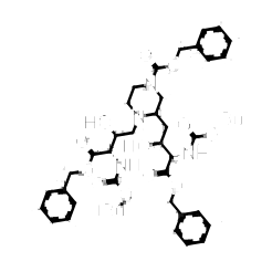 CC(C)(C)OC(=O)N[C@H](C(=O)OCc1ccccc1)C(O)CC1CN(C(=O)OCc2ccccc2)CCN1CC(O)[C@H](NC(=O)OC(C)(C)C)C(=O)OCc1ccccc1